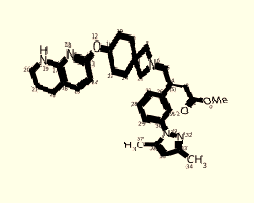 COC(=O)C[C@H](CN1CC2(CCC(Oc3ccc4c(n3)NCCC4)CC2)C1)c1cccc(-n2nc(C)cc2C)c1